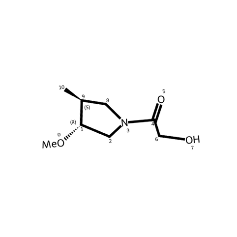 CO[C@H]1CN(C(=O)CO)C[C@@H]1C